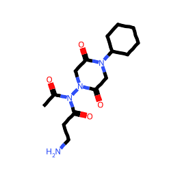 CC(=O)N(C(=O)CCN)N1CC(=O)N(C2CCCCC2)CC1=O